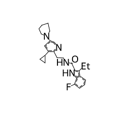 CCc1c(C(=O)NCCc2ncc(N3CCCCC3)cc2C2CC2)[nH]c2c(F)cccc12